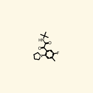 Cc1cc(N2CCCC2)c(C(=O)C(=O)NC(C)(C)C)cc1F